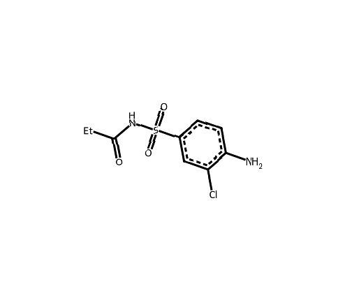 CCC(=O)NS(=O)(=O)c1ccc(N)c(Cl)c1